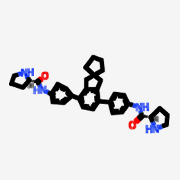 O=C(Nc1ccc(-c2ccc(-c3ccc(NC(=O)[C@@H]4CCCN4)cc3)c3c2CC2(CCCC2)C3)cc1)[C@@H]1CCCN1